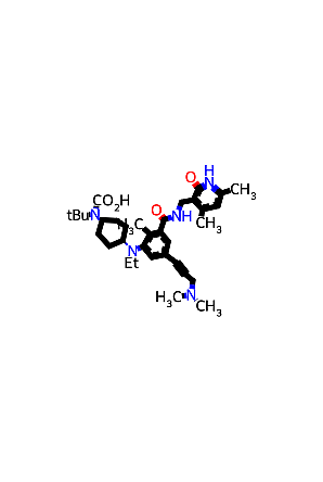 CCN(c1cc(C#CCN(C)C)cc(C(=O)NCc2c(C)cc(C)[nH]c2=O)c1C)[C@H]1CC[C@H](N(C(=O)O)C(C)(C)C)CC1